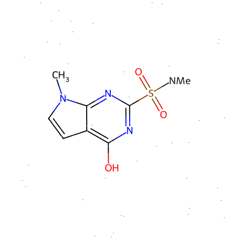 CNS(=O)(=O)c1nc(O)c2ccn(C)c2n1